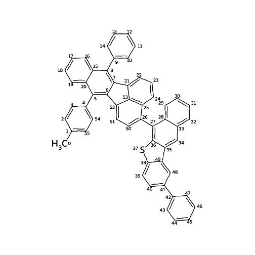 Cc1ccc(-c2c3c(c(-c4ccccc4)c4ccccc24)-c2cccc4c(-c5c6ccccc6cc6c5sc5ccc(-c7ccccc7)cc56)ccc-3c24)cc1